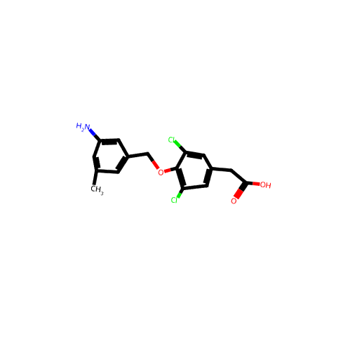 Cc1cc(N)cc(COc2c(Cl)cc(CC(=O)O)cc2Cl)c1